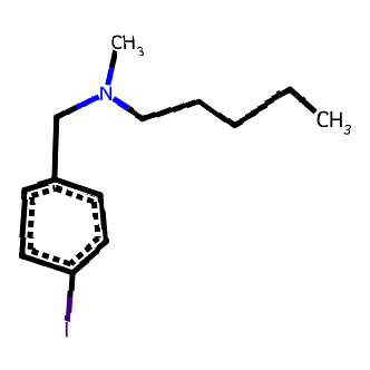 CCCCCN(C)Cc1ccc(I)cc1